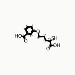 O=C(O)c1cccc(OCCCC(S)C(=O)O)c1